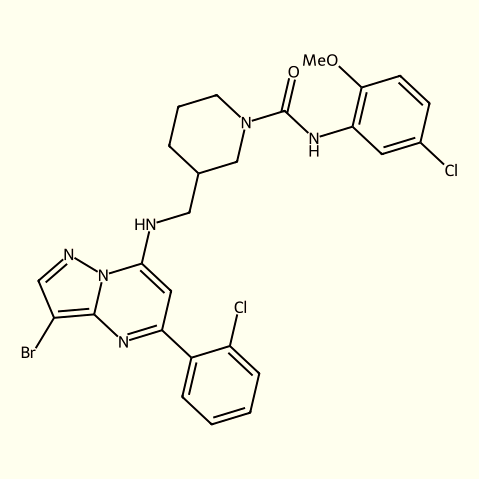 COc1ccc(Cl)cc1NC(=O)N1CCCC(CNc2cc(-c3ccccc3Cl)nc3c(Br)cnn23)C1